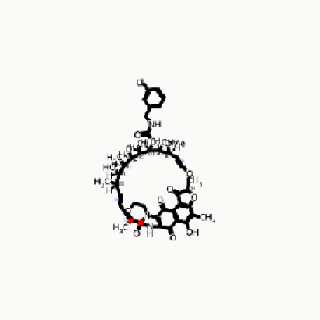 CO[C@H]1/C=C/O[C@@]2(C)Oc3c(C)c(O)c4c(c3C2=O)C(=O)C(N2CCOCC2)=C(NC(=O)/C(C)=C\C=C\[C@H](C)[C@H](O)[C@@H](C)[C@@H](O)[C@@H](C)[C@H](OC(=O)NCc2cccc(Cl)c2)[C@@H]1C)C4=O